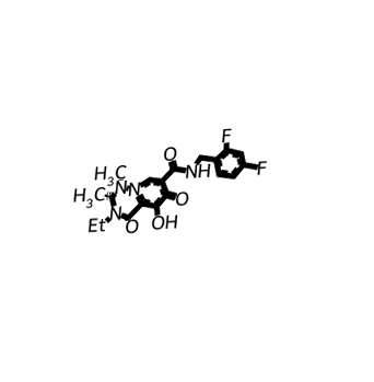 CCN1C(=O)c2c(O)c(=O)c(C(=O)NCc3ccc(F)cc3F)cn2N(C)[C@H]1C